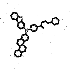 C=C(/C=C\C=C1\C=CC=CC1)c1ccc(N(c2ccc3c(ccc4c5ccccc5ccc34)c2)c2ccc3c(c2)sc2ccccc23)cc1